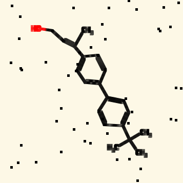 CC(=CCO)c1ccc(-c2ccc(C(C)(C)C)cc2)cc1